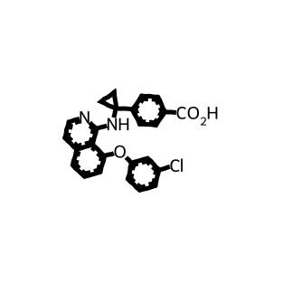 O=C(O)c1ccc(C2(Nc3nccc4cccc(Oc5cccc(Cl)c5)c34)CC2)cc1